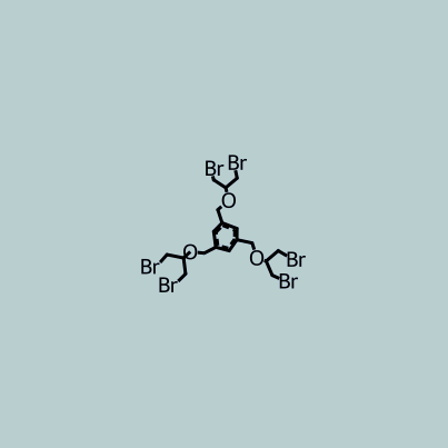 BrCC(CBr)OCc1cc(COC(CBr)CBr)cc(COC(CBr)CBr)c1